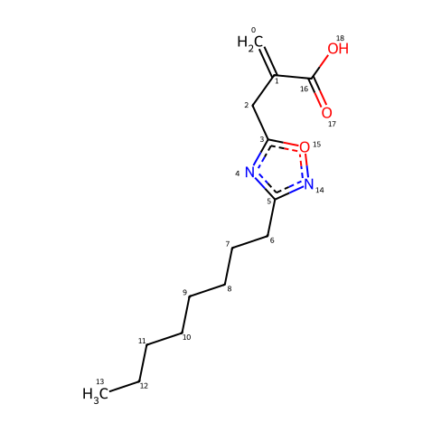 C=C(Cc1nc(CCCCCCCC)no1)C(=O)O